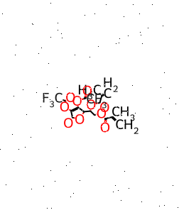 C=C(C)C(=O)OCC(OC(=O)C(=C)C)C1OC(=O)C(OC(=O)C(F)(F)F)=C1OC(=O)C(F)(F)F